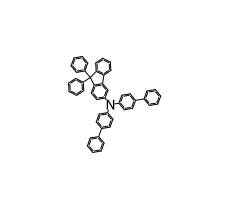 c1ccc(-c2ccc(N(c3ccc(-c4ccccc4)cc3)c3ccc4c(c3)-c3ccccc3C4(c3ccccc3)c3ccccc3)cc2)cc1